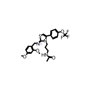 COc1ccc(C/N=c2\scc(-c3ccc(OC(F)(F)F)cc3)n2CCCNC(C)=O)c(OC)c1